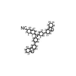 N#Cc1ccc2cc(N(c3ccc(-c4ccc5oc6ccccc6c5c4)cc3)c3ccc(-c4ccc5oc6ccccc6c5c4)cc3)ccc2c1